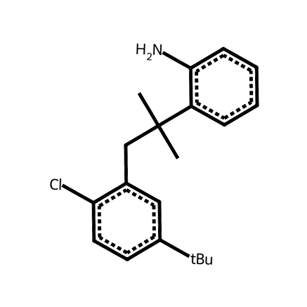 CC(C)(C)c1ccc(Cl)c(CC(C)(C)c2ccccc2N)c1